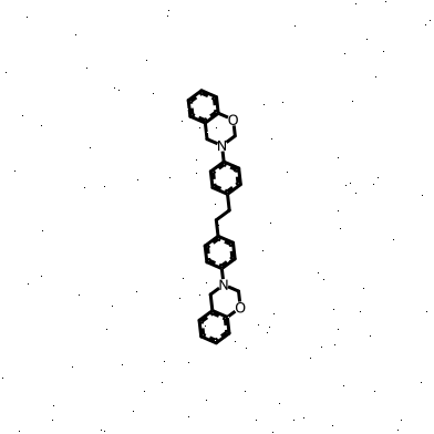 c1ccc2c(c1)CN(c1ccc(CCc3ccc(N4COc5ccccc5C4)cc3)cc1)CO2